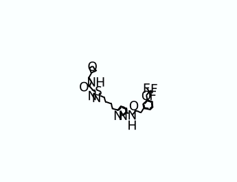 O=C(Cc1cccc(OC(F)(F)F)c1)Nc1ccc(CCCCc2nnc(C(=O)NCC3COC3)s2)nn1